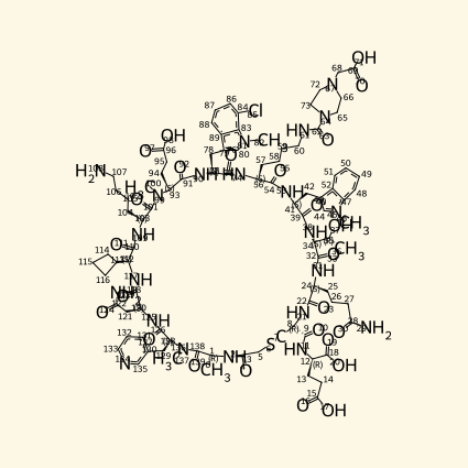 C[C@H]1NC(=O)CSC[C@@H](C(=O)N[C@H](CCC(=O)O)C(=O)O)NC(=O)[C@H](CCCC(N)=O)NC(=O)[C@H]([C@@H](C)O)NC(=O)[C@H](Cc2cn(C)c3ccccc23)NC(=O)[C@H](CCCCNC(=O)N2CCN(CC(=O)O)CC2)NC(=O)[C@H](Cc2cn(C)c3c(Cl)cccc23)NC(=O)[C@H](CCC(=O)O)N(C)C(=O)[C@H](CCCCN)NC(=O)[C@H](C2CCC2)NC(=O)[C@H](CC(N)=O)NC(=O)[C@H](Cc2cccnc2)N(C)C1=O